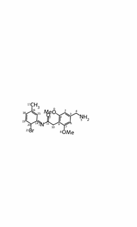 COc1cc(CN)cc(OC)c1CC(=O)N=C1C=C(C)C=CC1Br